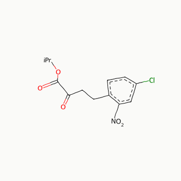 CC(C)OC(=O)C(=O)CCc1ccc(Cl)cc1[N+](=O)[O-]